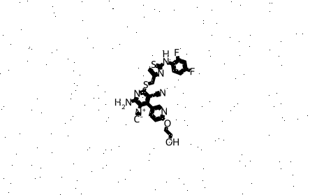 [C-]#[N+]c1c(N)nc(SCc2csc(Nc3ccc(F)cc3F)n2)c(C#N)c1-c1ccc(OCCO)nc1